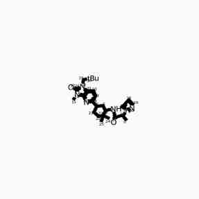 CC(C(=O)NC1CC(c2ccc3c(n2)n(C)c(=O)n3CC(C)(C)C)CCC1(C)C)n1cccn1